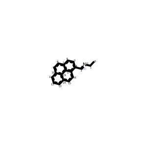 CC/N=C/c1ccc2ccc3cccc4ccc1c2c34